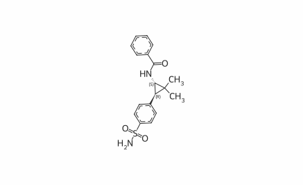 CC1(C)[C@@H](NC(=O)c2ccccc2)[C@@H]1c1ccc(S(N)(=O)=O)cc1